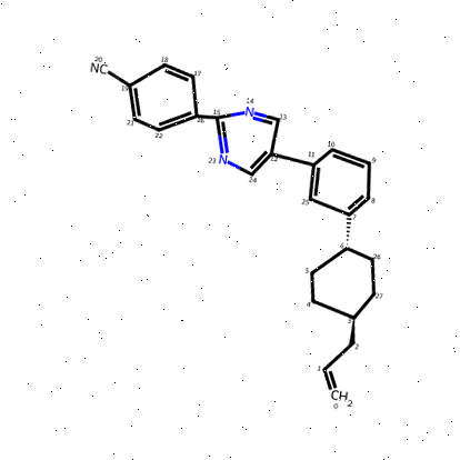 C=CC[C@H]1CC[C@H](c2cccc(-c3cnc(-c4ccc(C#N)cc4)nc3)c2)CC1